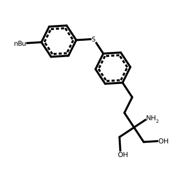 CCCCc1ccc(Sc2ccc(CCC(N)(CO)CO)cc2)cc1